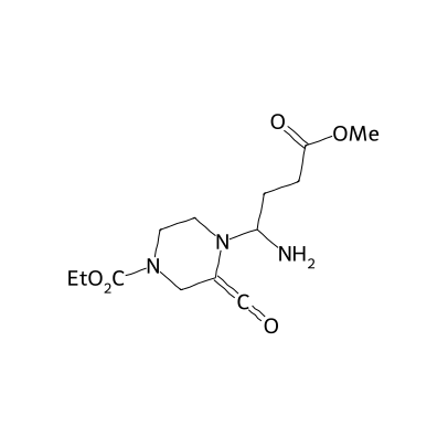 CCOC(=O)N1CCN(C(N)CCC(=O)OC)C(=C=O)C1